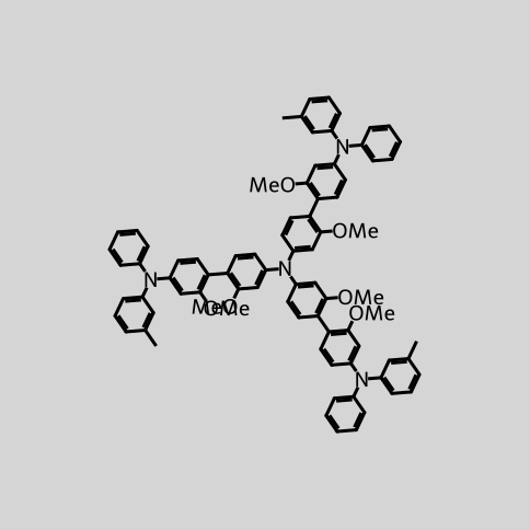 COc1cc(N(c2ccccc2)c2cccc(C)c2)ccc1-c1ccc(N(c2ccc(-c3ccc(N(c4ccccc4)c4cccc(C)c4)cc3OC)c(OC)c2)c2ccc(-c3ccc(N(c4ccccc4)c4cccc(C)c4)cc3OC)c(OC)c2)cc1OC